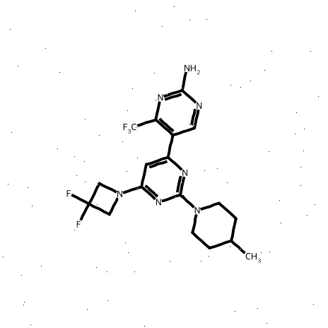 CC1CCN(c2nc(-c3cnc(N)nc3C(F)(F)F)cc(N3CC(F)(F)C3)n2)CC1